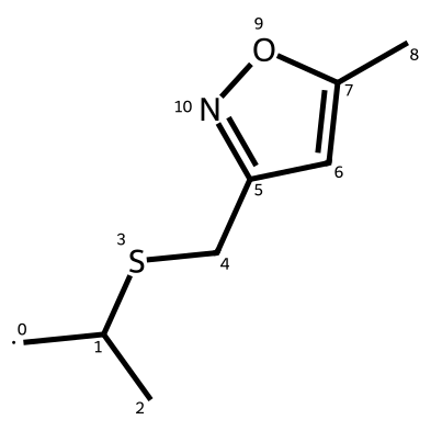 [CH2]C(C)SCc1cc(C)on1